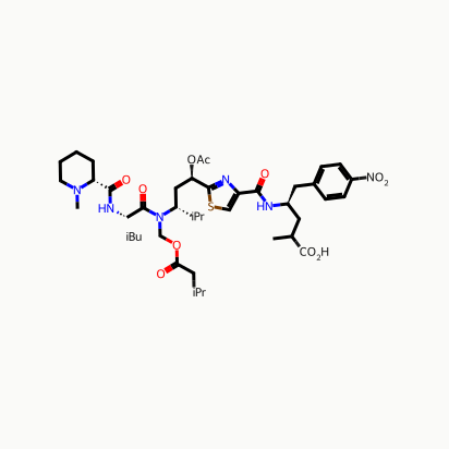 CC[C@H](C)[C@H](NC(=O)[C@H]1CCCCN1C)C(=O)N(COC(=O)CC(C)C)[C@H](C[C@@H](OC(C)=O)c1nc(C(=O)N[C@@H](Cc2ccc([N+](=O)[O-])cc2)CC(C)C(=O)O)cs1)C(C)C